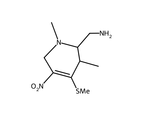 CSC1=C([N+](=O)[O-])CN(C)C(CN)C1C